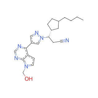 CCCCC1CC[C@@H](C(CC#N)n2cc(-c3ncnc4c3ccn4CO)cn2)C1